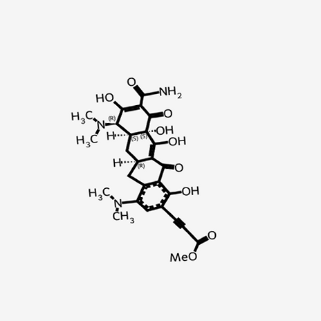 COC(=O)C#Cc1cc(N(C)C)c2c(c1O)C(=O)C1=C(O)[C@]3(O)C(=O)C(C(N)=O)=C(O)[C@H](N(C)C)[C@@H]3C[C@@H]1C2